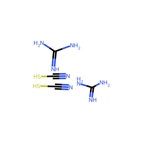 N#CS.N#CS.N=C(N)N.N=C(N)N